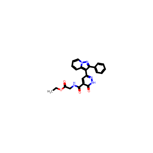 CCOC(=O)CNC(=O)c1cc(-c2c(-c3ccccc3)nn3ccccc23)n[nH]c1=O